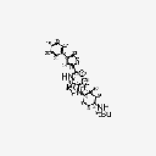 CC(C)(C)NC1CCC(N2CC[C@H](NC(=O)c3cc(-c4ccccc4)cs3)C2=O)C(C)(C(=O)O)C1